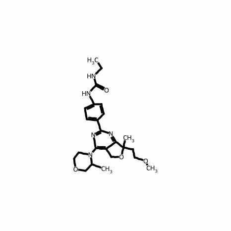 CCNC(=O)Nc1ccc(-c2nc(N3CCOCC3C)c3c(n2)C(C)(CCOC)OC3)cc1